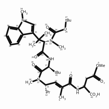 COC(=O)CC(NC(=O)/C(C)=C/[C@H](C(C)C)N(C)C(=O)[C@@H](NC(=O)[C@@H](N(C)C(=O)OC(C)(C)C)C(C)(C)c1cn(C)c2ccccc12)C(C)(C)C)C(=O)O